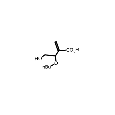 C=C(C(=O)O)C(CO)OCCCC